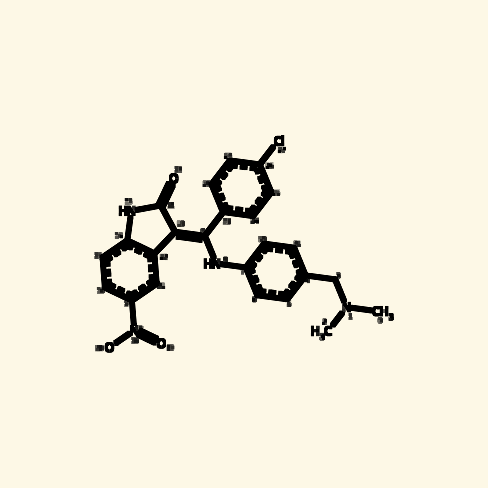 CN(C)Cc1ccc(NC(=C2C(=O)Nc3ccc([N+](=O)[O-])cc32)c2ccc(Cl)cc2)cc1